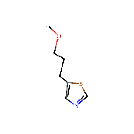 [CH2]OCCCc1cncs1